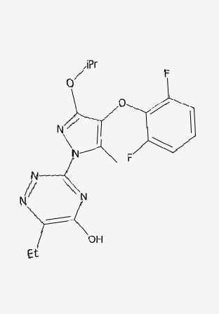 CCc1nnc(-n2nc(OC(C)C)c(Oc3c(F)cccc3F)c2C)nc1O